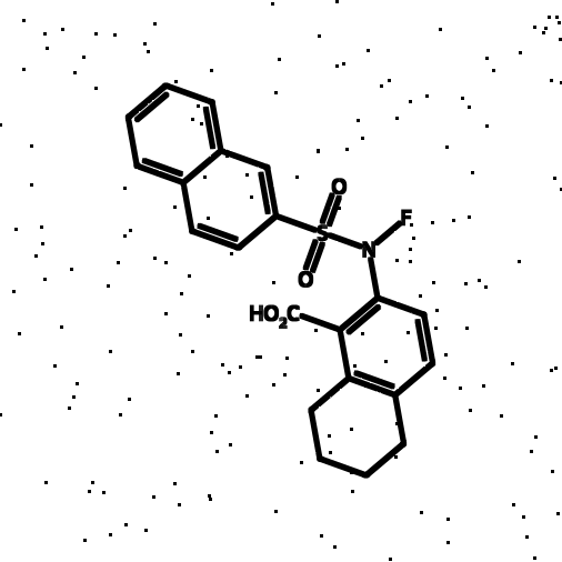 O=C(O)c1c(N(F)S(=O)(=O)c2ccc3ccccc3c2)ccc2c1CCCC2